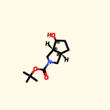 CC(C)(C)OC(=O)N1C[C@@H]2CC[C@H](O)[C@@H]2C1